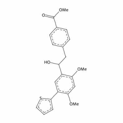 COC(=O)c1ccc(CC(O)c2cc(-c3cccs3)c(OC)cc2OC)cc1